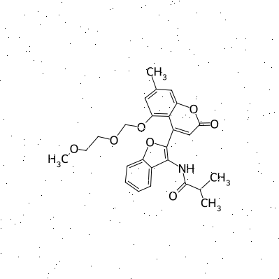 COCCOCOc1cc(C)cc2oc(=O)cc(-c3oc4ccccc4c3NC(=O)C(C)C)c12